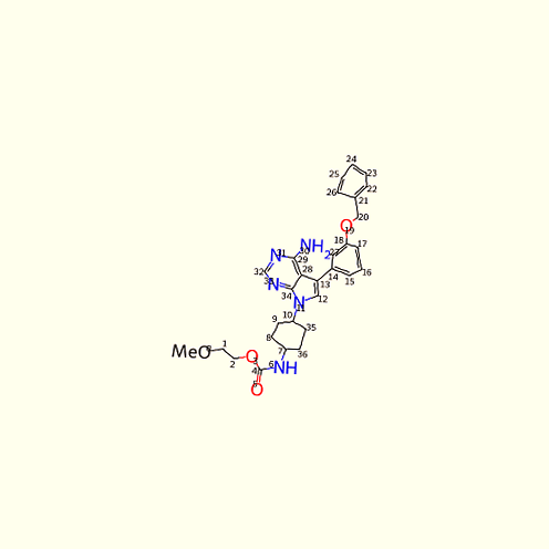 COCCOC(=O)NC1CCC(n2cc(-c3cccc(OCc4ccccc4)c3)c3c(N)ncnc32)CC1